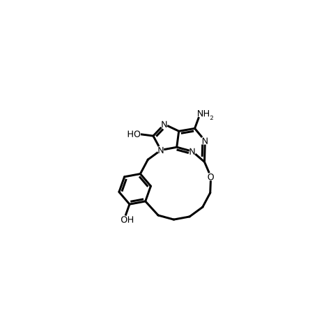 Nc1nc2nc3c1nc(O)n3Cc1ccc(O)c(c1)CCCCCO2